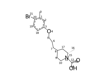 Cc1cc(OCCCC2CCN(C(=O)O)[C@@H](C)C2)ccc1Br